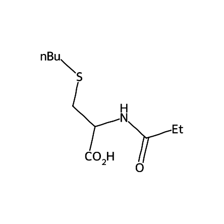 CCCCSCC(NC(=O)CC)C(=O)O